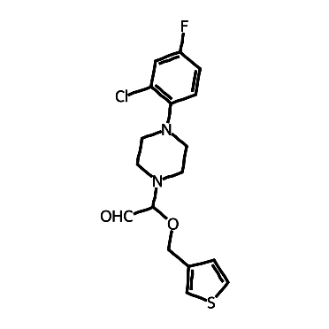 O=CC(OCc1ccsc1)N1CCN(c2ccc(F)cc2Cl)CC1